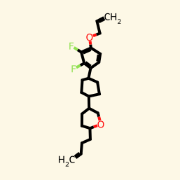 C=CCCC1CCC(C2CCC(c3ccc(OCC=C)c(F)c3F)CC2)CO1